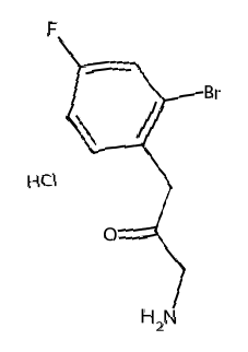 Cl.NCC(=O)Cc1ccc(F)cc1Br